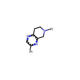 CC(C)c1cnc2c(n1)CN(C(C)C)CC2